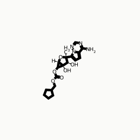 C[C@@]1(c2ccc3c(N)ncnn23)O[C@@H]2C(OC(=O)OCC3CCCC3)[C@]2(O)[C@H]1O